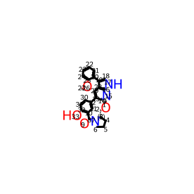 COC[C@@H]1CCCN1C(=O)c1cc(-c2cnc3[nH]cc(-c4ccccc4OC)c3c2)ccc1O